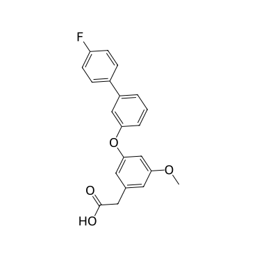 COc1cc(CC(=O)O)cc(Oc2cccc(-c3ccc(F)cc3)c2)c1